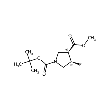 COC(=O)[C@@H]1CN(C(=O)OC(C)(C)C)C[C@@H]1F